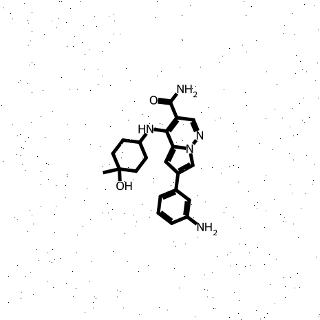 CC1(O)CCC(Nc2c(C(N)=O)cnn3cc(-c4cccc(N)c4)cc23)CC1